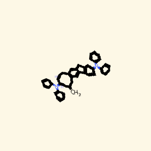 C=C1/C=C(N(c2ccccc2)c2ccccc2)\C=C/Cc2cc3c(cc2C1)-c1ccc(N(c2ccccc2)c2ccccc2)cc1C3